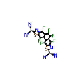 N#CC(C#N)=c1nc2c(F)c3c(F)c(F)c4c(F)c5nc(=C(C#N)C#N)sc5c(F)c4c3c(F)c2s1